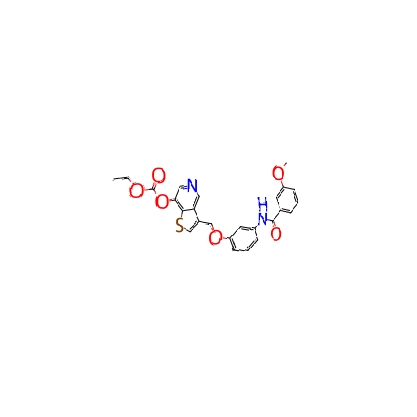 CCOC(=O)Oc1cncc2c(COc3cccc(NC(=O)c4cccc(OC)c4)c3)csc12